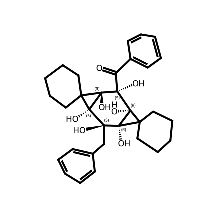 O=C(c1ccccc1)[C@@]1(O)[C@@]2(O)C3(CCCCC3)[C@@]2(O)[C@](O)(Cc2ccccc2)[C@@]2(O)C3(CCCCC3)[C@]12O